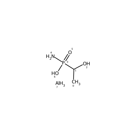 CC(O)P(N)(=O)O.[AlH3]